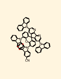 N#Cc1ccc2c(c1)c1ccccc1n2-c1cccc2c1Oc1c(-n3c4ccccc4c4ccccc43)cccc1C21c2cc(-n3c4ccccc4c4ccccc43)cnc2-c2ncc(-n3c4ccccc4c4ccccc43)cc21